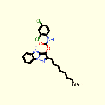 CCCCCCCCCCCCCCCCCc1nn2c([nH]c3ccccc32)c1OC(=O)Nc1ccc(Cl)cc1Cl